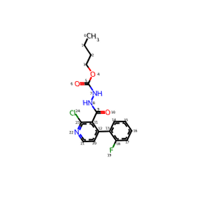 CCCCOC(=O)NNC(=O)c1c(-c2ccccc2F)ccnc1Cl